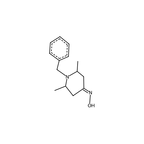 CC1CC(=NO)CC(C)N1Cc1ccccc1